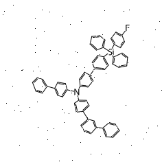 Fc1ccc([Si](c2ccccc2)(c2ccccc2)c2ccc(-c3ccc(N(c4ccc(-c5ccccc5)cc4)c4ccc(-c5cccc(-c6ccccc6)c5)cc4)cc3)cc2)cc1